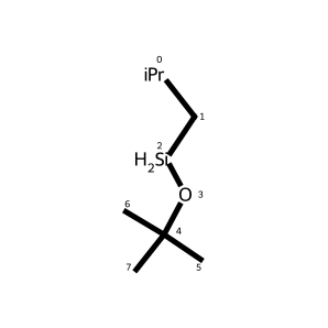 CC(C)C[SiH2]OC(C)(C)C